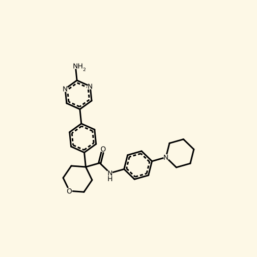 Nc1ncc(-c2ccc(C3(C(=O)Nc4ccc(N5CCCCC5)cc4)CCOCC3)cc2)cn1